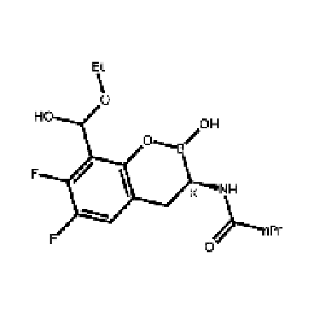 CCCC(=O)N[C@H]1Cc2cc(F)c(F)c(C(O)OCC)c2OB1O